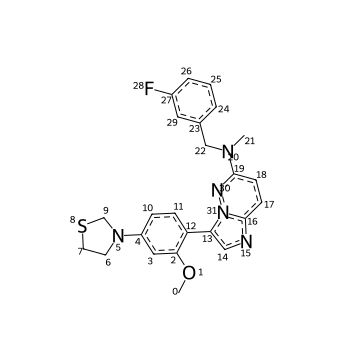 COc1cc(N2CCSC2)ccc1-c1cnc2ccc(N(C)Cc3cccc(F)c3)nn12